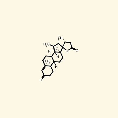 CC1[C@H]2[C@@H]3CCC4=CC(=O)CC[C@]4(C)[C@H]3CC[C@]2(C)[C@]2(CCC(=O)O2)[C@H]1C